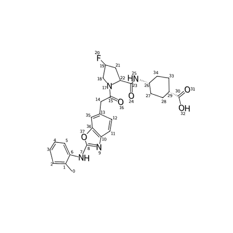 Cc1ccccc1Nc1nc2ccc(CC(=O)N3CC(F)CC3C(=O)N[C@H]3CC[C@@H](C(=O)O)CC3)cc2o1